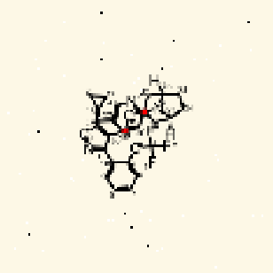 FC(F)(F)Oc1ccccc1-c1noc(C2CC2)c1COC1C[C@H]2CC[C@@H](C1)N2c1ccc(I)cn1